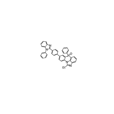 CCc1nc2cccc3c2n1-c1ccc(-c2ccc(-c4nc5ccccc5n4-c4ccccc4)cc2)cc1P3(=O)c1ccccc1